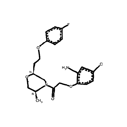 C[C@H]1CO[C@@H](CCOc2ccc(F)cc2)CN1C(=O)COc1ccc(Cl)cc1N